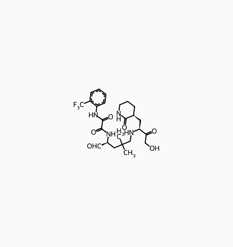 CC(C)(CN[C@@H](C[C@@H]1CCCNC1=O)C(=O)CO)C[C@@H](C=O)NC(=O)C(=O)Nc1ccccc1C(F)(F)F